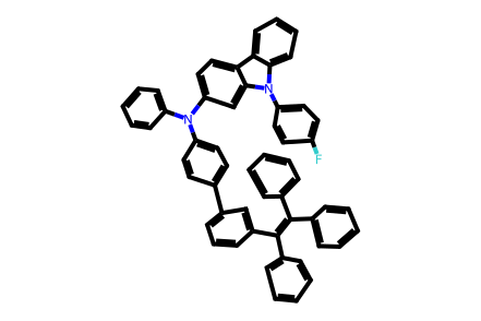 Fc1ccc(-n2c3ccccc3c3ccc(N(c4ccccc4)c4ccc(-c5cccc(C(=C(c6ccccc6)c6ccccc6)c6ccccc6)c5)cc4)cc32)cc1